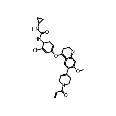 C=CC(=O)N1CC=C(c2cc3c(cc2OC)=NCCC=3OC2=CCC(NC(=O)NC3CC3)C(Cl)=C2)CC1